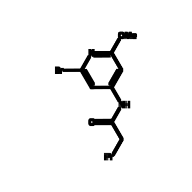 COc1cc(NC(=O)CC(C)C)cc(Br)n1